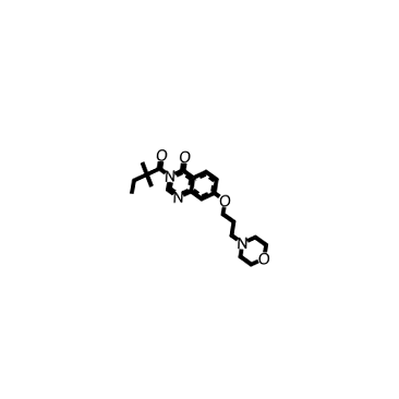 CCC(C)(C)C(=O)n1cnc2cc(OCCCN3CCOCC3)ccc2c1=O